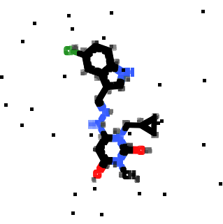 Cn1c(=O)cc(NN=Cc2c[nH]c3ccc(Cl)cc23)n(CC2CC2)c1=O